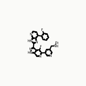 CCNCc1cncc(-c2ncc3[nH]nc(-c4nc5c(-c6ccccc6F)ccnc5[nH]4)c3c2F)c1